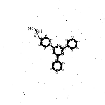 OBOc1ccc(-c2cc(-c3ccccc3)nc(-c3ccccc3)n2)cc1